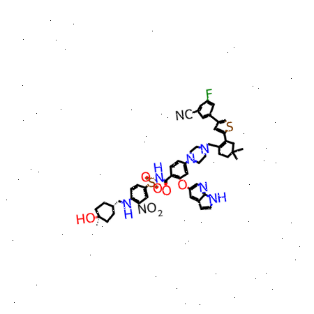 CC1(C)CCC(CN2CCN(c3ccc(C(=O)NS(=O)(=O)c4ccc(NC[C@H]5CC[C@](C)(O)CC5)c([N+](=O)[O-])c4)c(Oc4cnc5[nH]ccc5c4)c3)CC2)=C(c2cc(-c3cc(F)cc(C#N)c3)cs2)C1